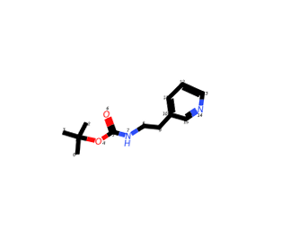 CC(C)(C)OC(=O)NCCc1c[c]cnc1